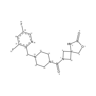 O=C1NC2(CO1)CN(C(=O)N1CCN(Cc3ncc(F)cc3F)CC1)C2